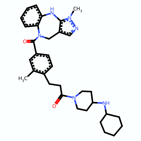 Cc1cc(C(=O)N2Cc3cnn(C)c3Nc3ccccc32)ccc1CCC(=O)N1CCC(NC2CCCCC2)CC1